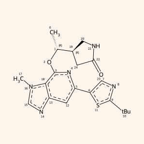 C[C@@H](Oc1nc(-c2cnc(C(C)(C)C)s2)cc2ncn(C)c12)[C@H]1CNC(=O)C1